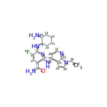 NC(=O)c1cc(F)c(N[C@@H]2CCCC[C@@H]2N)nc1Nc1ccnc2c1ccn2CC(F)(F)F